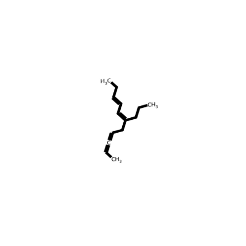 CC=C=CCC(=CC=CCC)CCC